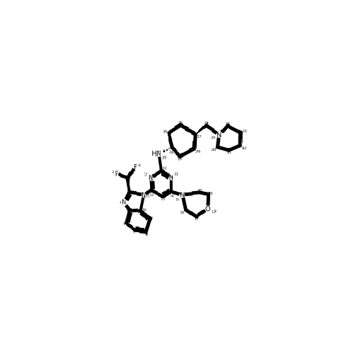 FC(F)c1nc2ccccc2n1-c1cc(N2CCOCC2)nc(N[C@H]2CC[C@H](CN3CCCCC3)CC2)n1